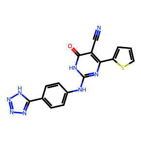 N#Cc1c(-c2cccs2)nc(Nc2ccc(-c3nnn[nH]3)cc2)[nH]c1=O